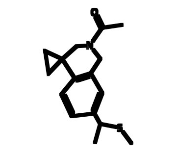 CSC(C)c1ccc2c(c1)CN(C(C)=O)CC21CC1